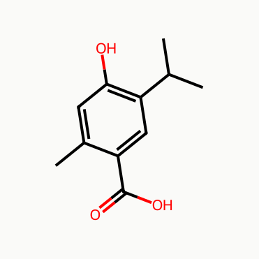 Cc1cc(O)c(C(C)C)cc1C(=O)O